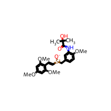 COc1cc(OC)c(/C=C/[S+]([O-])Cc2ccc(OC)c(NC(=O)C(C)(C)O)c2)c(OC)c1